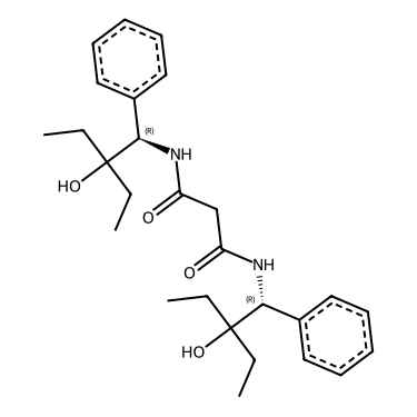 CCC(O)(CC)[C@H](NC(=O)CC(=O)N[C@H](c1ccccc1)C(O)(CC)CC)c1ccccc1